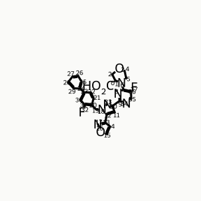 O=C(O)[C@H]1COCCN1c1nc(-c2cc(-c3ccon3)n(Cc3ccc(-c4ccccc4)cc3F)n2)ncc1F